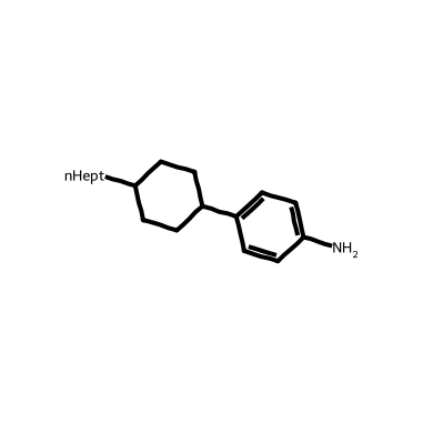 CCCCCCCC1CCC(c2ccc(N)cc2)CC1